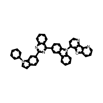 c1ccc(-n2ccc3ccc(-c4nc(-c5ccc6c(c5)c5ccccc5n6-c5ccnc6c5oc5cccnc56)c5ccccc5n4)cc32)cc1